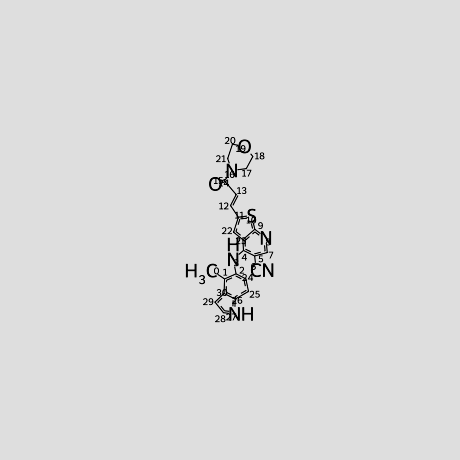 Cc1c(Nc2c(C#N)cnc3sc(/C=C/C(=O)N4CCOCC4)cc23)ccc2[nH]ccc12